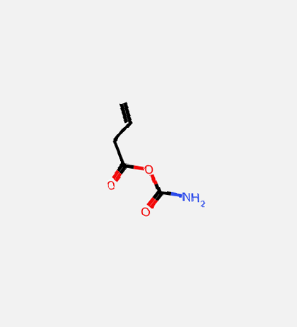 C=CCC(=O)OC(N)=O